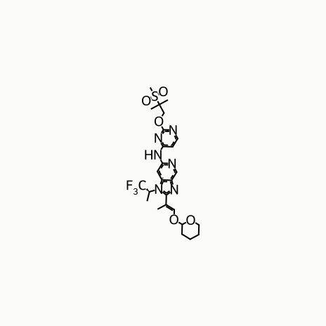 C/C(=C\OC1CCCCO1)c1nc2cnc(Nc3ccnc(OCC(C)(C)S(C)(=O)=O)n3)cc2n1[C@@H](C)C(F)(F)F